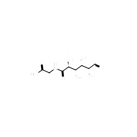 O=C[C@H](O)[C@@H](O)[C@H](O)[C@H](O)C(=O)NCC(=O)O